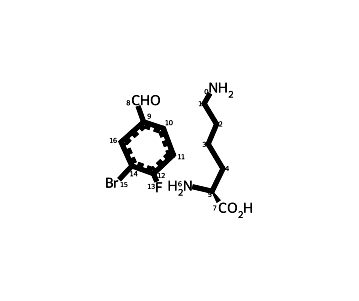 NCCCC[C@H](N)C(=O)O.O=Cc1ccc(F)c(Br)c1